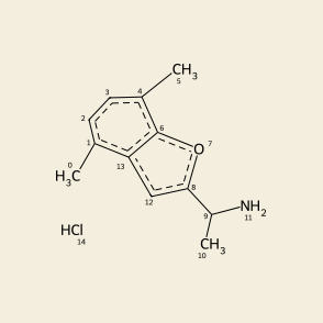 Cc1ccc(C)c2oc(C(C)N)cc12.Cl